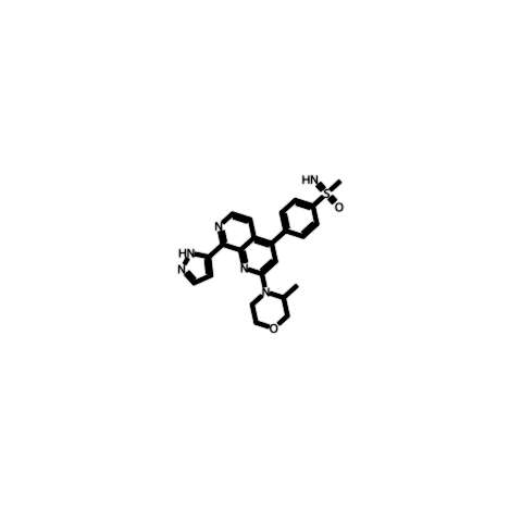 CC1COCCN1c1cc(-c2ccc(S(C)(=N)=O)cc2)c2ccnc(-c3ccn[nH]3)c2n1